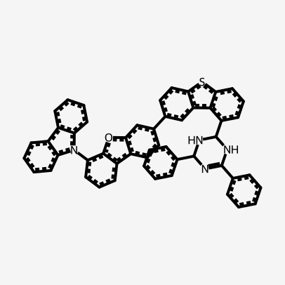 c1ccc(C2=NC(c3ccccc3)NC(c3cccc4sc5ccc(-c6ccc7c(c6)oc6c(-n8c9ccccc9c9ccccc98)cccc67)cc5c34)N2)cc1